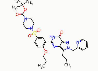 CCCOc1ccc(S(=O)(=O)N2CCN(C(=O)OC(C)(C)C)CC2)cc1-c1nc2c(CCC)n(Cc3ccccn3)nc2c(=O)[nH]1